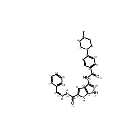 CN1CCN(c2ccc(C(=O)Nc3n[nH]c4sc(C(=O)N/N=C\c5ccccc5)cc34)cc2)CC1